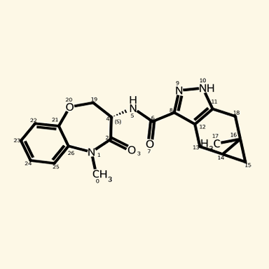 CN1C(=O)[C@@H](NC(=O)c2n[nH]c3c2CC2CC2(C)C3)COc2ccccc21